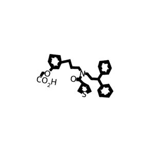 O=C(O)COc1cccc(CCCN(CCC(c2ccccc2)c2ccccc2)C(=O)c2ccsc2)c1